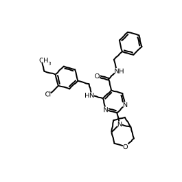 CCc1ccc(CNc2nc(N3C4CCC3COC4)ncc2C(=O)NCc2ccccc2)cc1Cl